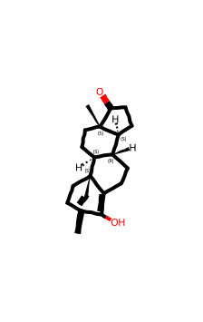 C=C[C@]12CCC(=C)C(O)=C1CC[C@@H]1[C@@H]2CC[C@]2(C)C(=O)CC[C@@H]12